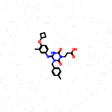 Cc1ccc(Cn2c(=O)n(CCC(=O)O)c(=O)[nH]/c2=N\c2ccc(OC3CCC3)c(C)c2)cc1